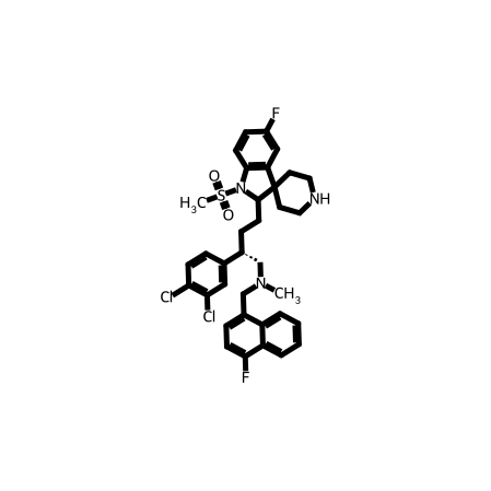 CN(Cc1ccc(F)c2ccccc12)C[C@@H](CCC1N(S(C)(=O)=O)c2ccc(F)cc2C12CCNCC2)c1ccc(Cl)c(Cl)c1